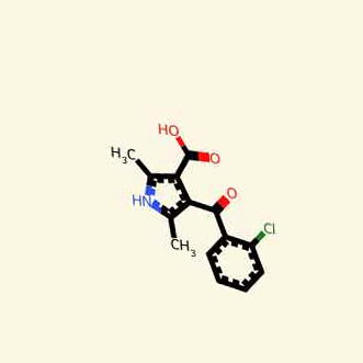 Cc1[nH]c(C)c(C(=O)c2ccccc2Cl)c1C(=O)O